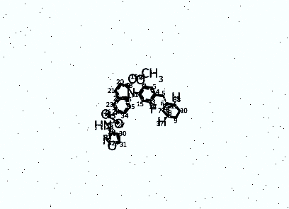 COc1cc(C[C@@H]2C[C@@H]3CC[C@H]2C3)c(F)cc1-n1c(=O)ccc2cc(S(=O)(=O)Nc3ccon3)ccc21